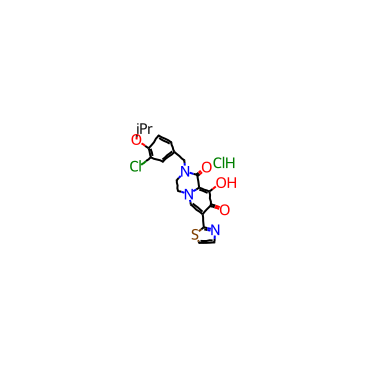 CC(C)Oc1ccc(CN2CCn3cc(-c4nccs4)c(=O)c(O)c3C2=O)cc1Cl.Cl